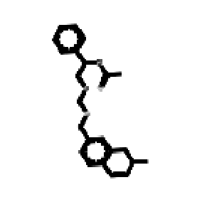 CC(=O)OC(COCOCc1ccc2c(c1)CC(C)C=C2)c1ccccc1